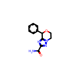 NC(=O)c1nc2n(n1)CCOC2c1ccccc1